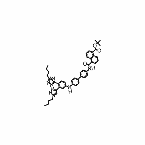 CCCCn1cc(-c2cc(Nc3ccc(-c4ccc(NC(=O)c5cccc6c(C(=O)OC(C)(C)C)cccc56)cc4)cc3)ccc2-c2nnn(CCCC)n2)nn1